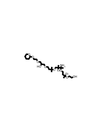 CCC(C)(CCOC(C)(N)C(C)(CC)COC(C)(C)CCOCC(O)COCCOC1CCCCO1)OCCO